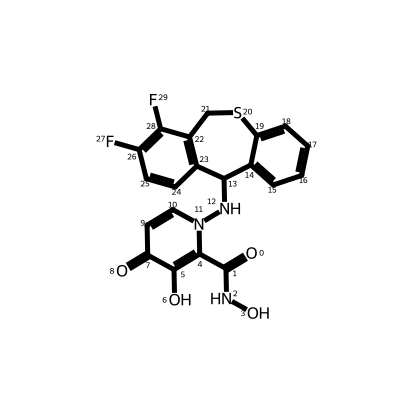 O=C(NO)c1c(O)c(=O)ccn1NC1c2ccccc2SCc2c1ccc(F)c2F